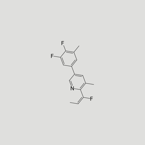 C/C=C(/F)c1ncc(-c2cc(C)c(F)c(F)c2)cc1C